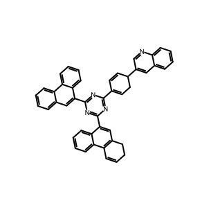 C1=Cc2c(cc(-c3nc(C4=CCC(c5cnc6ccccc6c5)C=C4)nc(-c4cc5ccccc5c5ccccc45)n3)c3ccccc23)CC1